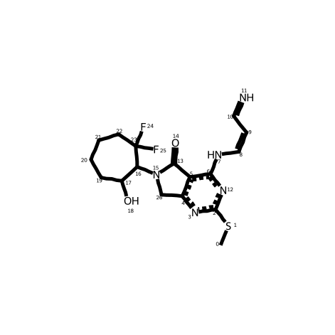 CSc1nc2c(c(N/C=C\C=N)n1)C(=O)N(C1C(O)CCCCC1(F)F)C2